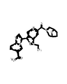 NC(=O)c1ccc2ncc(-c3nn(CC(F)(F)F)c4cc(C(=O)N5CC6CCC(C5)O6)ncc34)n2c1